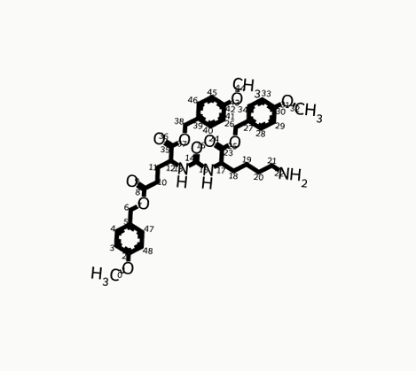 COc1ccc(COC(=O)CCC(NC(=O)NC(CCCCN)C(=O)OCc2ccc(OC)cc2)C(=O)OCc2ccc(OC)cc2)cc1